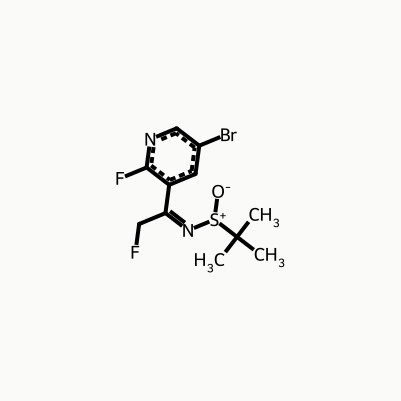 CC(C)(C)[S+]([O-])/N=C(/CF)c1cc(Br)cnc1F